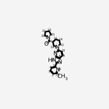 Cc1cccc(-c2nc3ccc(N4CCC[C@@H](C(=O)N5CCCC5)C4)nc3[nH]2)n1